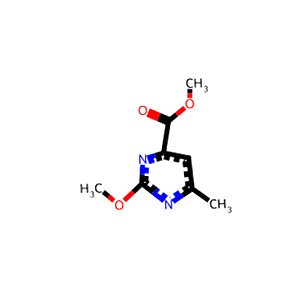 COC(=O)c1cc(C)nc(OC)n1